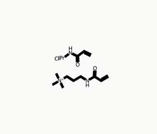 C=CC(=O)NC(C)C.C=CC(=O)NCCC[N+](C)(C)C.[Cl-]